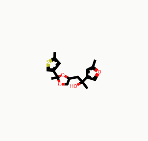 Cc1cc(C(C)(O)CC2COC(C)(c3csc(C)c3)O2)co1